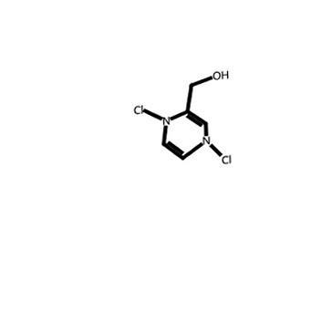 OCC1=CN(Cl)C=CN1Cl